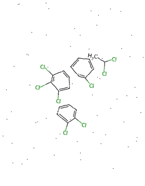 CC(Cl)Cl.Clc1cccc(Cl)c1Cl.Clc1ccccc1.Clc1ccccc1Cl